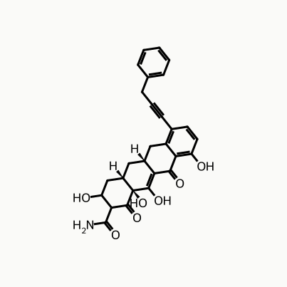 NC(=O)C1C(=O)[C@@]2(O)C(O)=C3C(=O)c4c(O)ccc(C#CCc5ccccc5)c4C[C@H]3C[C@H]2CC1O